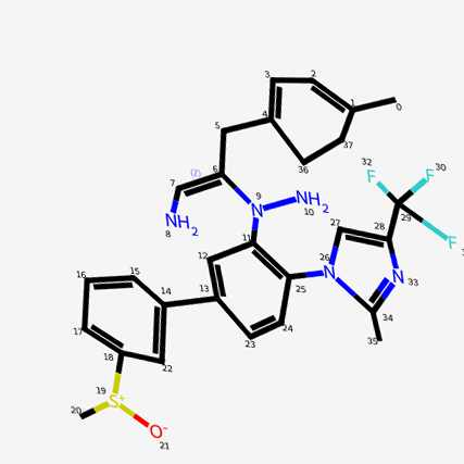 CC1=CC=C(C/C(=C/N)N(N)c2cc(-c3cccc([S+](C)[O-])c3)ccc2-n2cc(C(F)(F)F)nc2C)CC1